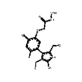 CONC(=O)COc1cc(-c2c(CCl)[nH]c(C(F)(F)F)c2CCl)c(F)cc1Cl